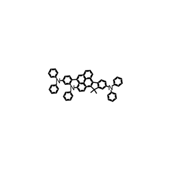 CC1(C)c2cc(N(c3ccccc3)c3ccccc3)ccc2-c2c1c1ccc3c4c(cc5cccc2c5c14)-c1ccc(N(c2ccccc2)c2ccccc2)cc1N3c1ccccc1